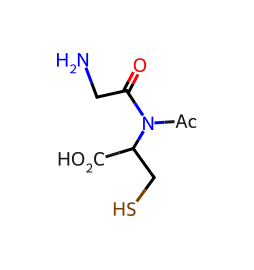 CC(=O)N(C(=O)CN)C(CS)C(=O)O